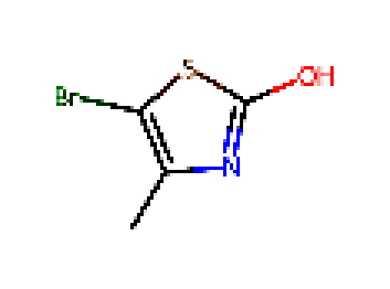 Cc1nc(O)sc1Br